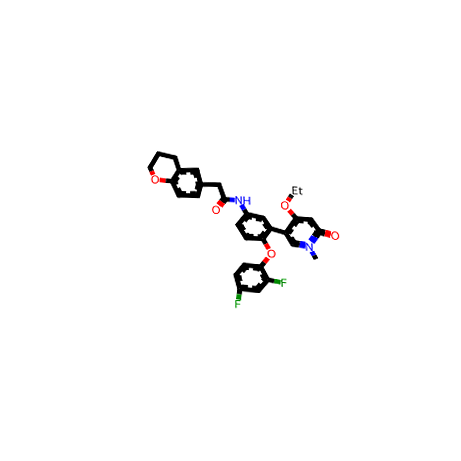 CCOc1cc(=O)n(C)cc1-c1cc(NC(=O)Cc2ccc3c(c2)CCCO3)ccc1Oc1ccc(F)cc1F